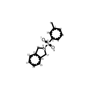 Cc1cccc(S(=O)(=O)N2Cc3ccccc3C2)c1